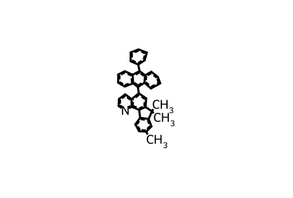 Cc1ccc2c(c1)C(C)(C)c1cc(-c3c4ccccc4c(-c4ccccc4)c4ccccc34)c3cccnc3c1-2